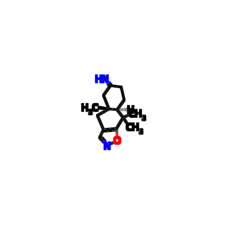 CC1(C)c2oncc2C[C@]2(C)CC(=N)CC[C@@H]12